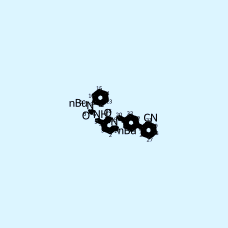 CCCCc1ccc(CNC(=O)N(CCCC)c2ccccc2)c(=O)n1Cc1ccc(-c2ccccc2C#N)cc1